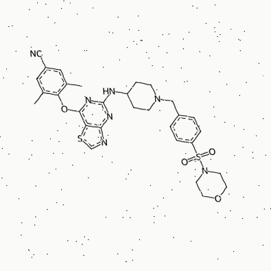 Cc1cc(C#N)cc(C)c1Oc1nc(NC2CCN(Cc3ccc(S(=O)(=O)N4CCOCC4)cc3)CC2)nc2ncsc12